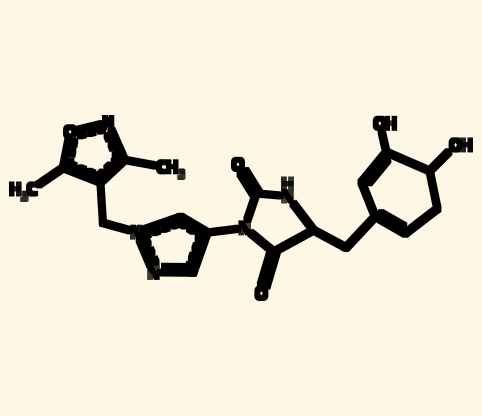 Cc1noc(C)c1Cn1cc(N2C(=O)NC(CC3=CCC(O)C(O)=C3)C2=O)cn1